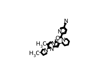 Cc1cn2nc([C@@H]3CCCCN3C(=O)c3ccc(C#N)cn3)cc2nc1N1CC[C@H](C)C1